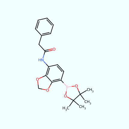 CC1(C)OB(c2ccc(NC(=O)Cc3ccccc3)c3c2OCO3)OC1(C)C